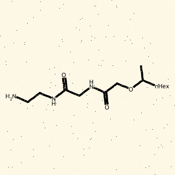 CCCCCCC(C)OCC(=O)NCC(=O)NCCN